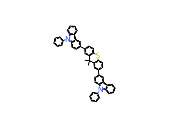 CC1(C)c2cc(-c3ccc4c(c3)c3ccccc3n4-c3ccccc3)ccc2Sc2ccc(-c3ccc4c(c3)c3ccccc3n4-c3ccccc3)cc21